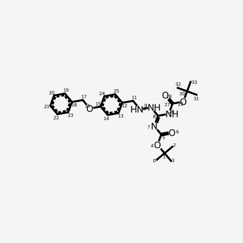 CC(C)(C)OC(=O)N=C(NNCc1ccc(OCc2ccccc2)cc1)NC(=O)OC(C)(C)C